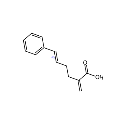 C=C(CC/C=C/c1ccccc1)C(=O)O